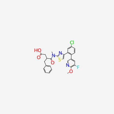 COc1ncc(-c2ccc(Cl)cc2-c2csc(N(C)C(=O)C(CC(=O)O)Cc3ccccc3)n2)cc1F